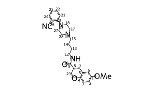 COc1ccc2c(c1)C=C(C(=O)NCCCCN1CCN(c3ccccc3C#N)CC1)CO2